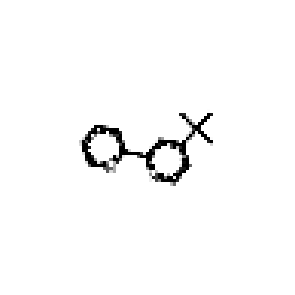 CC(C)(C)c1ccnc(-c2ccccn2)c1